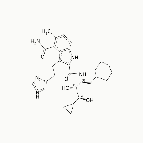 Cc1ccc2[nH]c(C(=O)N[C@@H](CC3CCCCC3)[C@@H](O)[C@@H](O)C3CC3)c(CCc3c[nH]cn3)c2c1C(N)=O